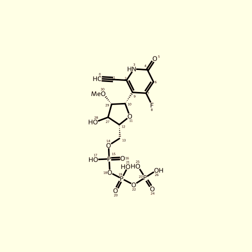 C#Cc1[nH]c(=O)cc(F)c1[C@@H]1O[C@H](COP(=O)(O)OP(=O)(O)OP(=O)(O)O)C(O)[C@@H]1OC